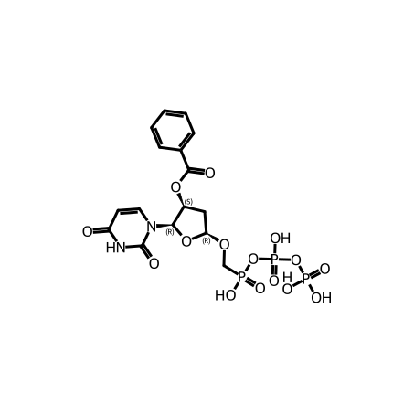 O=C(O[C@H]1C[C@@H](OCP(=O)(O)OP(=O)(O)OP(=O)(O)O)O[C@H]1n1ccc(=O)[nH]c1=O)c1ccccc1